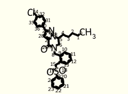 CCCCCC1CN(Cc2ccccc2CS(=O)(=O)c2ccccc2)C(=O)c2cc(-c3ccc(Cl)cc3)nn21